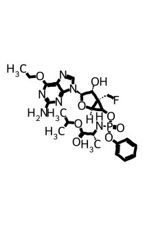 CCOc1nc(N)nc2c1ncn2[C@@H]1O[C@@H]2C(O[P@](=O)(N[C@H](C)C(=O)OC(C)C)Oc3ccccc3)[C@]2(CF)[C@H]1O